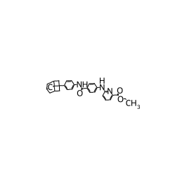 CCOC(=O)c1cccc(Nc2ccc(C(=O)Nc3ccc(C45CC6CC7CC(C4)C65C7)cc3)cc2)n1